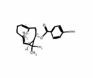 COc1ccc(C(=O)O[C@H]2C/C(C)=C/CC/C(C)=C/[C@H]3C2C3(C)C)cc1